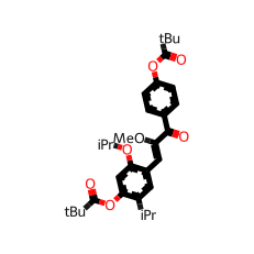 COC(=Cc1cc(C(C)C)c(OC(=O)C(C)(C)C)cc1OC(C)C)C(=O)c1ccc(OC(=O)C(C)(C)C)cc1